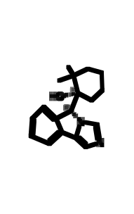 CC1(C)CCCC[C@@]1(O)[C@H]1c2ccccc2-c2cncn21